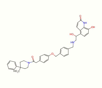 O=C(Cc1ccc(OCc2ccc(CNCC(O)c3ccc(O)c4[nH]c(=O)ccc34)cc2)cc1)N1CCC(C(=O)O)(c2ccccc2)CC1